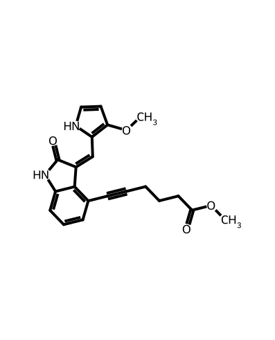 COC(=O)CCCC#Cc1cccc2c1/C(=C/c1[nH]ccc1OC)C(=O)N2